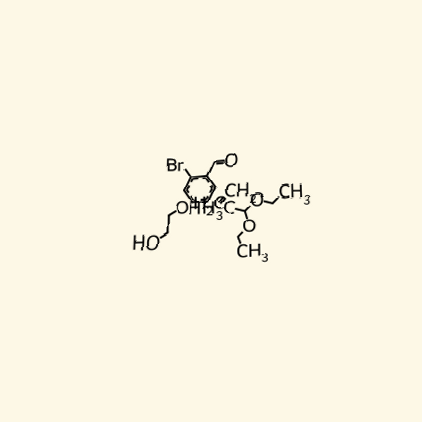 C=C.CCOC(C)OCC.O=Cc1ccccc1Br.OCCO